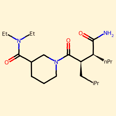 CCC[C@H](C(N)=O)[C@@H](CC(C)C)C(=O)N1CCCC(C(=O)N(CC)CC)C1